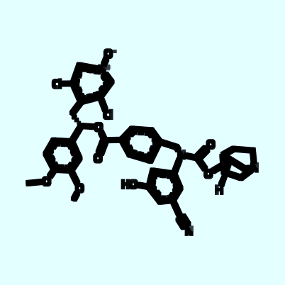 COc1ccc([C@H](Cc2c(Cl)c[n+]([O-])cc2Cl)OC(=O)c2ccc(CN(C(=O)O[C@H]3CN4CCC3CC4)c3cc(O)cc(C#N)c3)cc2)cc1OC